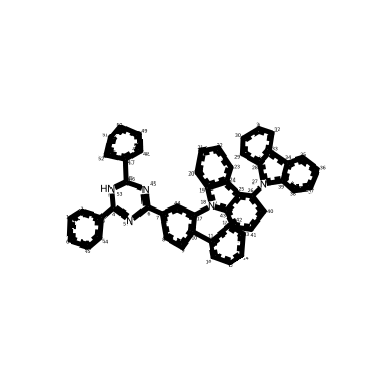 c1ccc(C2=NC(c3ccc(-c4ccccc4)c(-n4c5ccccc5c5c(-n6c7ccccc7c7ccccc76)cccc54)c3)=NC(c3ccccc3)N2)cc1